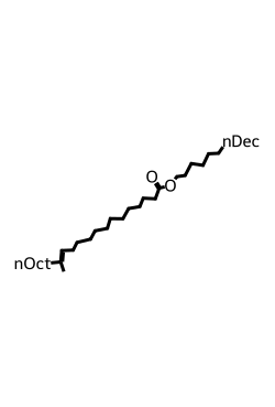 CCCCCCCCCCCCCCCCOC(=O)CCCCCCCCCCCC=C(C)CCCCCCCC